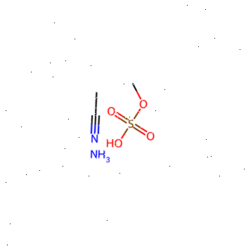 CC#N.COS(=O)(=O)O.N